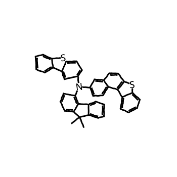 CC1(C)c2ccccc2-c2c(N(c3ccc4c(ccc5sc6ccccc6c54)c3)c3ccc4sc5ccccc5c4c3)cccc21